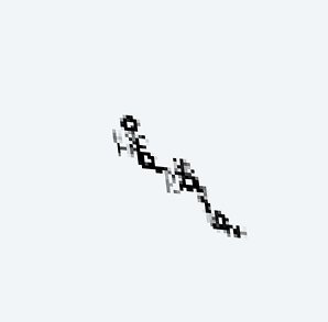 COc1cc(OCCCN2CCC(O)CC2)cc2ncnc(NCCc3ccc(NC(=O)Nc4ccccc4)cc3)c12